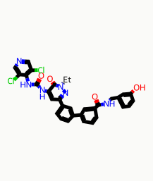 CCn1nc(-c2cccc(-c3cccc(C(=O)NCc4cccc(O)c4)c3)c2)cc(NC(=O)Nc2c(Cl)cncc2Cl)c1=O